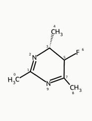 CC1=N[C@H](C)C(F)C(C)=N1